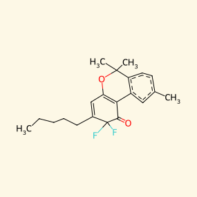 CCCCCC1=CC2=C(C(=O)C1(F)F)c1cc(C)ccc1C(C)(C)O2